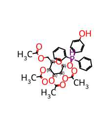 CC(=O)OC[C@H]1O[C@H](O[PH](c2ccccc2)(c2ccccc2)c2ccc(O)cc2)[C@H](OC(C)=O)[C@@H](OC(C)=O)[C@@H]1OC(C)=O